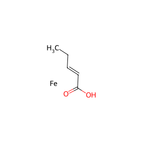 CCC=CC(=O)O.[Fe]